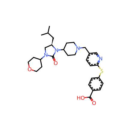 CC(C)C[C@@H]1CN(C2CCOCC2)C(=O)N1C1CCN(Cc2ccc(Sc3ccc(C(=O)O)cc3)nc2)CC1